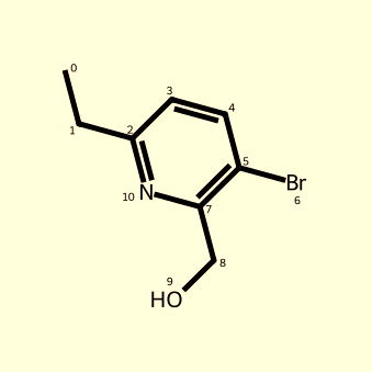 CCc1ccc(Br)c(CO)n1